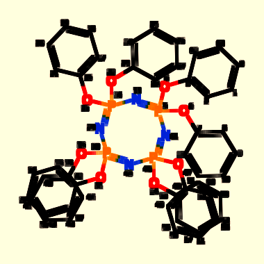 c1ccc(OP2(Oc3ccccc3)=NP(Oc3ccccc3)(Oc3ccccc3)=NP(Oc3ccccc3)(Oc3ccccc3)=NP(Oc3ccccc3)(Oc3ccccc3)=N2)cc1